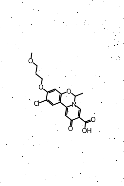 COCCCOc1cc2c(cc1Cl)-c1cc(=O)c(C(=O)O)cn1C(C)O2